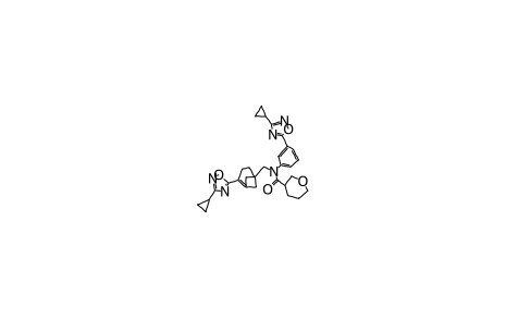 O=C(C1CCCOC1)N(CC12CCC(c3nc(C4CC4)no3)=C(C1)C2)c1cccc(-c2nc(C3CC3)no2)c1